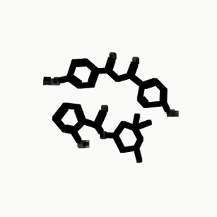 CC1CC(OC(=O)c2ccccc2O)CC(C)(C)C1.COc1ccc(C(=O)CC(=O)c2ccc(C(C)(C)C)cc2)cc1